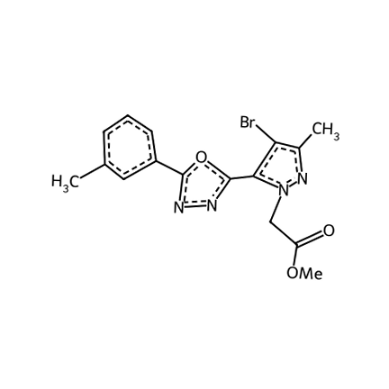 COC(=O)Cn1nc(C)c(Br)c1-c1nnc(-c2cccc(C)c2)o1